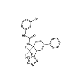 O=C(Nc1cccc(Br)c1)NC1(C(F)(F)F)C=CC(c2ccccc2)=CC1c1nnn[nH]1